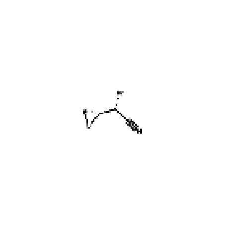 N#C[C@@H](Br)[C@H]1CO1